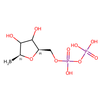 B[C@@H]1O[C@H](COP(=O)(O)OP(=O)(O)O)C(O)C1O